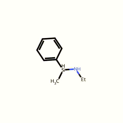 CCN[SiH](C)c1ccccc1